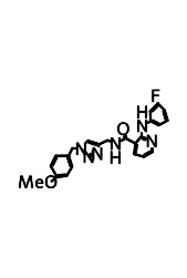 COc1ccc(Cn2cc(CNC(=O)c3cccnc3Nc3cccc(F)c3)nn2)cc1